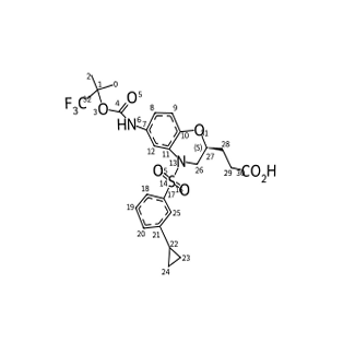 CC(C)(OC(=O)Nc1ccc2c(c1)N(S(=O)(=O)c1cccc(C3CC3)c1)C[C@H](CCC(=O)O)O2)C(F)(F)F